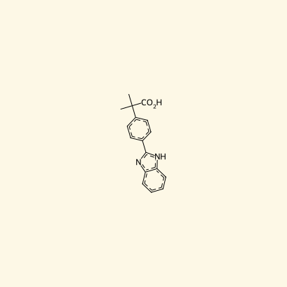 CC(C)(C(=O)O)c1ccc(-c2nc3ccccc3[nH]2)cc1